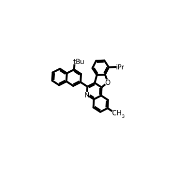 Cc1ccc2nc(-c3cc(C(C)(C)C)c4ccccc4c3)c3c4cccc(C(C)C)c4oc3c2c1